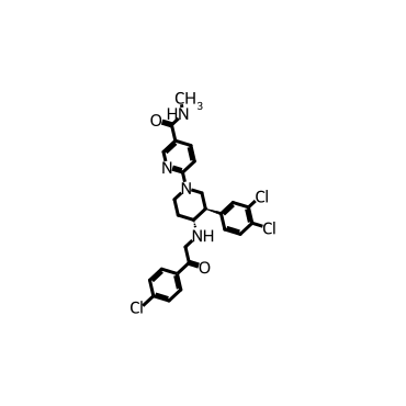 CNC(=O)c1ccc(N2CC[C@@H](NCC(=O)c3ccc(Cl)cc3)[C@H](c3ccc(Cl)c(Cl)c3)C2)nc1